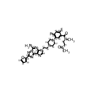 CN(CC[S@+](C)[O-])C(=O)c1cc(N2CCN(CCn3cnc4c3nc(N)n3nc(-c5ccco5)nc43)CC2)c(F)cc1F